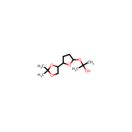 CC(C)(O)OC1CCC(C2COC(C)(C)O2)O1